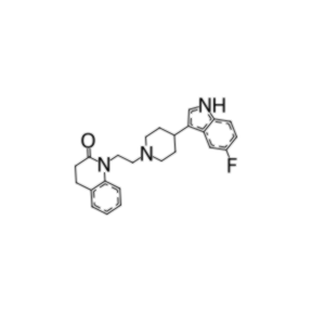 O=C1CCc2ccccc2N1CCN1CCC(c2c[nH]c3ccc(F)cc23)CC1